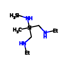 CCNC[Si](C)(CNCC)N[SiH3]